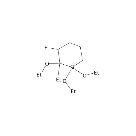 CCOC1(CC)C(F)CCC[Si]1(OCC)OCC